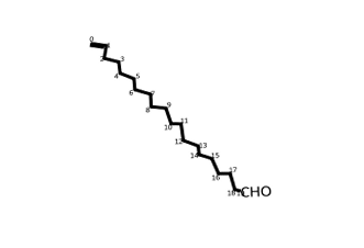 C=CCCCCCCCCCCCCCCCCCC=O